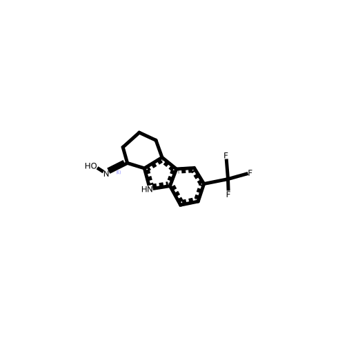 O/N=C1\CCCc2c1[nH]c1ccc(C(F)(F)F)cc21